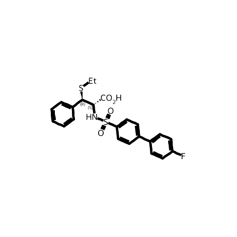 CCS[C@H](c1ccccc1)[C@@H](NS(=O)(=O)c1ccc(-c2ccc(F)cc2)cc1)C(=O)O